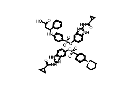 O=C(Nc1nc2cc(OS(=O)(=O)c3ccc(N4CCCCC4)cc3)ccc2[nH]1)C1CC1.O=C(O)CC(Nc1ccc(S(=O)(=O)Oc2ccc3[nH]c(NC(=O)C4CC4)nc3c2)cc1)c1ccccc1